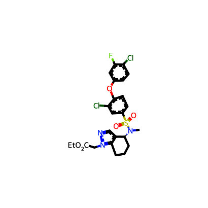 CCOC(=O)Cn1ncc2c1CCC[C@H]2N(C)S(=O)(=O)c1ccc(Oc2ccc(Cl)c(F)c2)c(Cl)c1